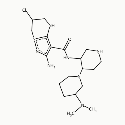 CN(C)C1CCCN(C2CCNCC2NC(=O)c2c(N)nn3c2NCC(Cl)C3)C1